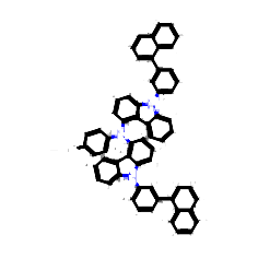 Cc1ccc(N(c2cccc3c2c2ccccc2n3-c2cccc(-c3cccc4ccccc34)c2)c2cccc3c2c2ccccc2n3-c2cccc(-c3cccc4ccccc34)c2)cc1